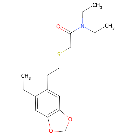 CCc1cc2c(cc1CCSCC(=O)N(CC)CC)OCO2